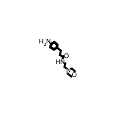 Nc1ccc(CCC(=O)NCCN2CCOCC2)cc1